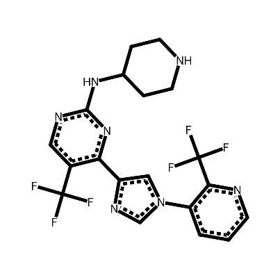 FC(F)(F)c1cnc(NC2CCNCC2)nc1-c1cn(-c2cccnc2C(F)(F)F)cn1